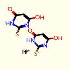 O=c1cc(O)nc([S-])[nH]1.O=c1cc(O)nc([S-])[nH]1.[H+].[H+]